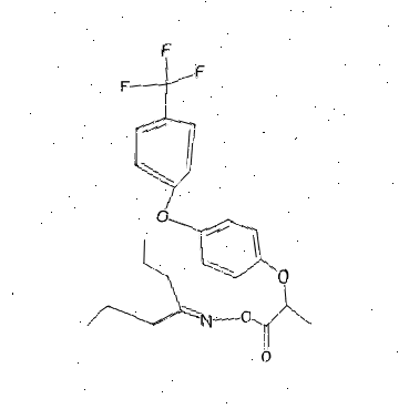 CCCC(CCC)=NOC(=O)C(C)Oc1ccc(Oc2ccc(C(F)(F)F)cc2)cc1